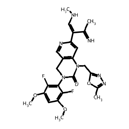 CN/C=C(\C(C)=N)c1cc2c(cn1)CN(c1c(F)c(OC)cc(OC)c1F)C(=O)N2Cc1nnc(C)o1